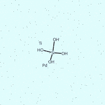 O[Si](O)(O)O.[Pd].[Ti]